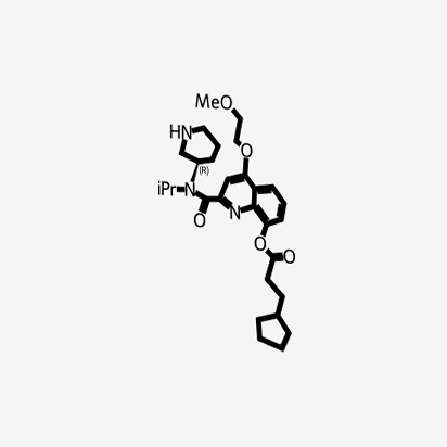 COCCOc1cc(C(=O)N(C(C)C)[C@@H]2CCCNC2)nc2c(OC(=O)CCC3CCCC3)cccc12